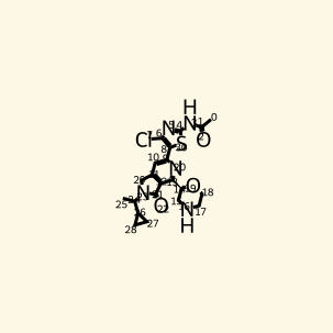 CC(=O)Nc1nc(Cl)c(-c2cc3c(c([C@@H]4CNCCO4)n2)C(=O)N(C(C)C2CC2)C3)s1